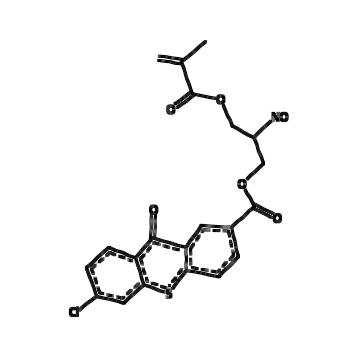 C=C(C)C(=O)OCC(COC(=O)c1ccc2sc3cc(Cl)ccc3c(=O)c2c1)N=O